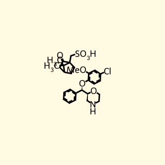 CC1(C)C2CCC1(CS(=O)(=O)O)C(=O)C2.COc1cc(Cl)ccc1O[C@@H](c1ccccc1)[C@@H]1CNCCO1